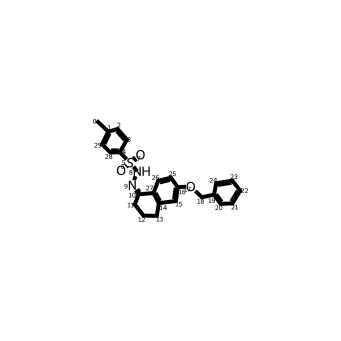 Cc1ccc(S(=O)(=O)N/N=C2/CCCc3cc(OCc4ccccc4)ccc32)cc1